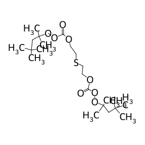 CC(C)(C)CC(C)(C)OOC(=O)OCCSCCOC(=O)OOC(C)(C)CC(C)(C)C